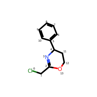 ClCC1=NC(c2ccccc2)CCO1